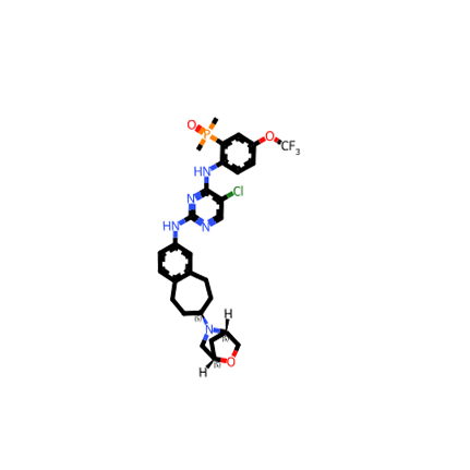 CP(C)(=O)c1cc(OC(F)(F)F)ccc1Nc1nc(Nc2ccc3c(c2)CC[C@@H](N2C[C@@H]4C[C@H]2CO4)CC3)ncc1Cl